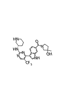 CC1(O)CCN(C(=O)c2ccc3c(-c4nc(N[C@H]5CCCNC5)ncc4C(F)(F)F)c[nH]c3c2)C1